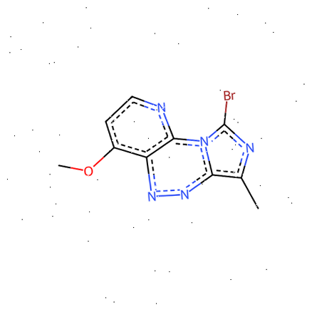 COc1ccnc2c1nnc1c(C)nc(Br)n12